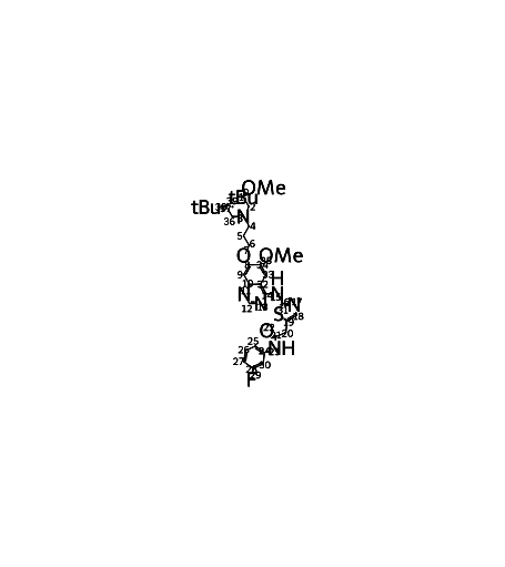 COCCN(CCCOc1cc2ncnc(Nc3ncc(CC(=O)Nc4cccc(F)c4)s3)c2cc1OC)C[C](C(C)(C)C)C(C)(C)C